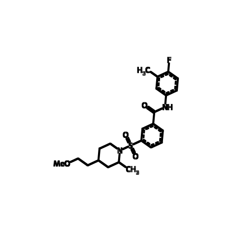 COCCC1CCN(S(=O)(=O)c2cccc(C(=O)Nc3ccc(F)c(C)c3)c2)C(C)C1